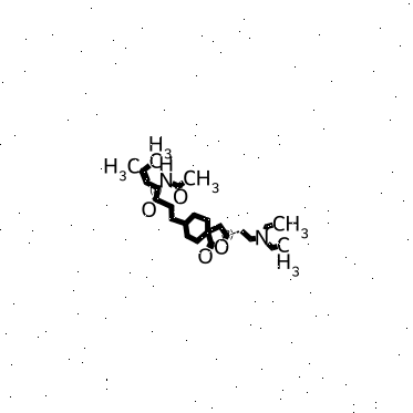 CCN(CC)CC[C@H]1CC2(CCC(CCC(=O)[C@H](C=C(C)C)NC(C)=O)CC2)C(=O)O1